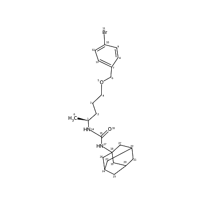 C[C@@H](CCCOCc1ccc(Br)cc1)NC(=O)NC12CC3CC(CC(C3)C1)C2